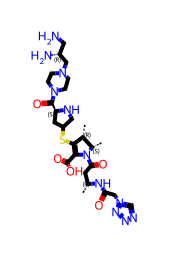 C[C@H](CC(=O)N1C(C(=O)O)=C(SC2CN[C@H](C(=O)N3CCN(C[C@H](N)CN)CC3)C2)[C@H](C)[C@@H]1C)NC(=O)Cn1cnnn1